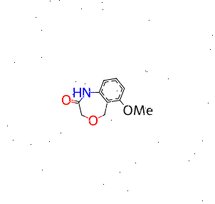 COc1cccc2c1COCC(=O)N2